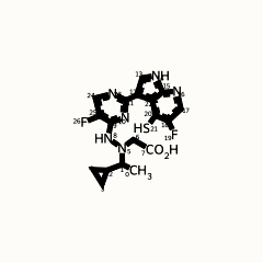 CC(C1CC1)N(CC(=O)O)Nc1nc(-c2c[nH]c3ncc(F)c(S)c23)ncc1F